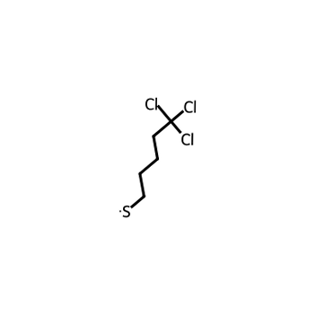 [S]CCCCC(Cl)(Cl)Cl